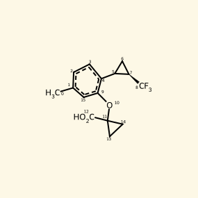 Cc1ccc(C2C[C@H]2C(F)(F)F)c(OC2(C(=O)O)CC2)c1